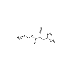 C=CCOC(=O)C(C#N)CC(C)C